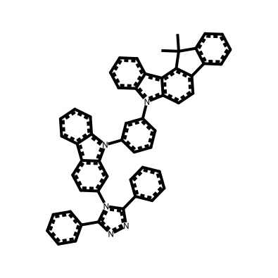 CC1(C)c2ccccc2-c2ccc3c(c21)c1ccccc1n3-c1cccc(-n2c3ccccc3c3ccc(-n4c(-c5ccccc5)nnc4-c4ccccc4)cc32)c1